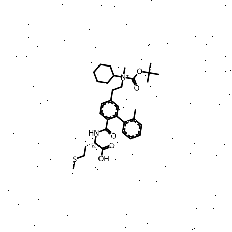 CSCC[C@H](NC(=O)c1ccc(CC[N+](C)(C(=O)OC(C)(C)C)C2CCCCC2)cc1-c1ccccc1C)C(=O)O